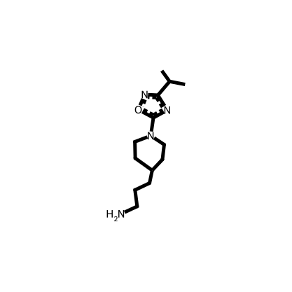 CC(C)c1noc(N2CCC(CCCN)CC2)n1